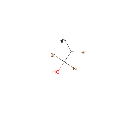 CCCC(Br)C(O)(Br)Br